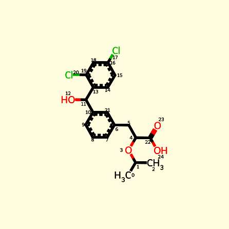 CC(C)OC(Cc1cccc(C(O)c2ccc(Cl)cc2Cl)c1)C(=O)O